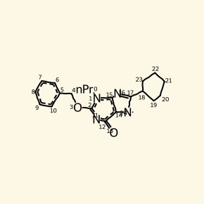 CCCn1c(OCc2ccccc2)nc(=O)c2c1N=C(C1CCCCC1)[N]2